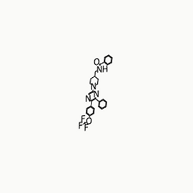 O=C(NCC1CCN(c2cnc(-c3ccc(OC(F)(F)F)cc3)c(-c3ccccc3)n2)CC1)c1ccccc1